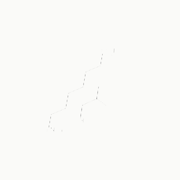 CC(O)CO.CCCCCCCCCCCCCCCC(=O)O